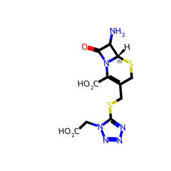 NC1C(=O)N2C(C(=O)O)=C(CSc3nnnn3CC(=O)O)CS[C@@H]12